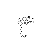 CC1=Nc2ccc(S(=O)(=O)OCCCCCC(=O)O)cc2C1(C)C